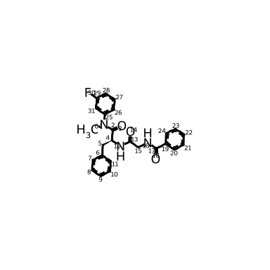 CN(C(=O)[C@H](Cc1ccccc1)NC(=O)CNC(=O)c1ccccc1)c1cccc(F)c1